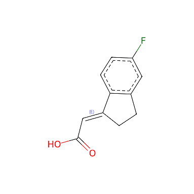 O=C(O)/C=C1\CCc2cc(F)ccc21